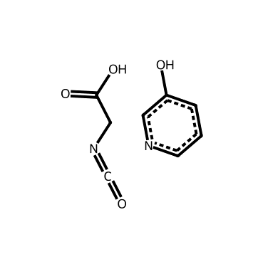 O=C=NCC(=O)O.Oc1cccnc1